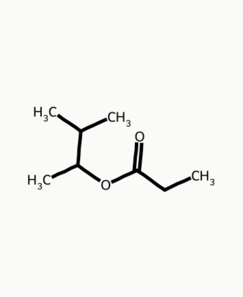 CCC(=O)OC(C)C(C)C